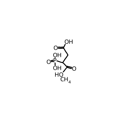 C.O=C(O)CC(C(=O)O)P(=O)(O)O